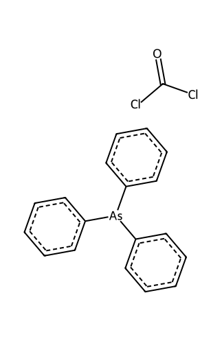 O=C(Cl)Cl.c1ccc([As](c2ccccc2)c2ccccc2)cc1